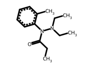 CCC(=O)N(c1ccccc1C)N(CC)CC